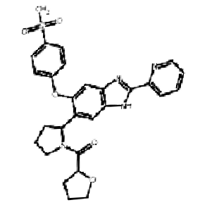 CS(=O)(=O)c1ccc(Oc2cc3nc(-c4ccccn4)[nH]c3cc2C2CCCN2C(=O)C2CCCO2)cc1